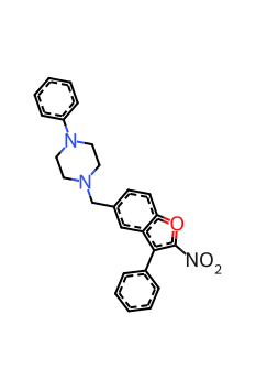 O=[N+]([O-])c1oc2ccc(CN3CCN(c4ccccc4)CC3)cc2c1-c1ccccc1